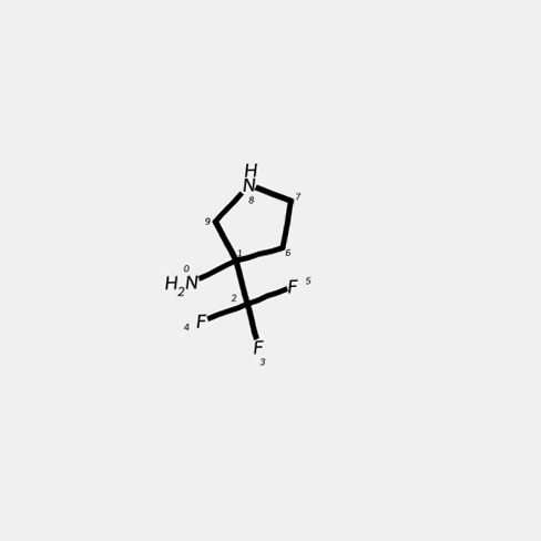 NC1(C(F)(F)F)CCNC1